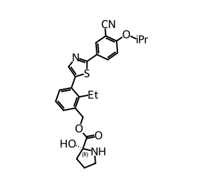 CCc1c(COC(=O)[C@]2(O)CCCN2)cccc1-c1cnc(-c2ccc(OC(C)C)c(C#N)c2)s1